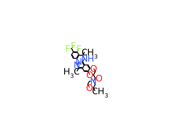 Cc1nnc(NC(C)c2cccc(C(F)F)c2F)c2cc3c(cc12)OC(C(=O)N1CCOC(C)C1)CO3